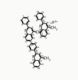 Cc1cc(-c2ccccc2)nc2ccccc12.Cc1cc(-c2ccccc2)nc2ccccc12.Cc1cc(-c2ccccc2)nc2ccccc12.[Ir+3]